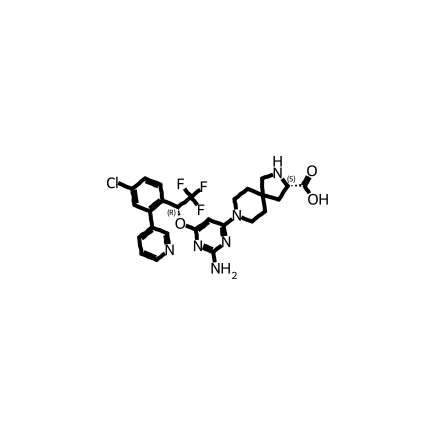 Nc1nc(O[C@H](c2ccc(Cl)cc2-c2cccnc2)C(F)(F)F)cc(N2CCC3(CC2)CN[C@H](C(=O)O)C3)n1